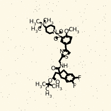 COc1ccc(-c2csc(CNC(=O)C3(CC(=O)OC(C)(C)C)Cc4cc(F)c(F)cc4C3)n2)cc1S(=O)(=O)N1CCC([N+](C)(C)C)CC1